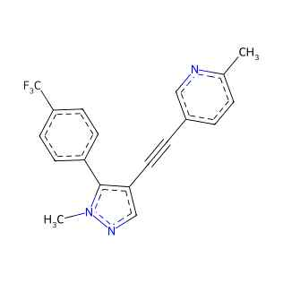 Cc1ccc(C#Cc2cnn(C)c2-c2ccc(C(F)(F)F)cc2)cn1